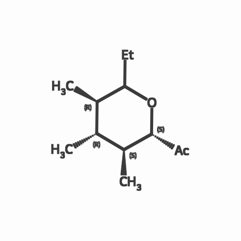 CCC1O[C@H](C(C)=O)[C@@H](C)[C@H](C)[C@H]1C